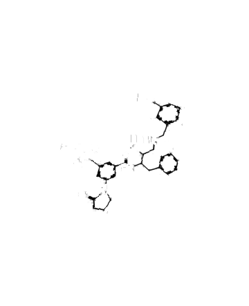 CS(=O)(=O)c1cc(C(=O)NC(Cc2ccccc2)C(O)CNCc2cccc(C(F)(F)F)c2)cc(N2CCCC2=O)c1